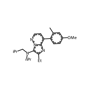 CCCN(CC(C)C)c1c(CC)nc2c(-c3ccc(OC)cc3C)ccnn12